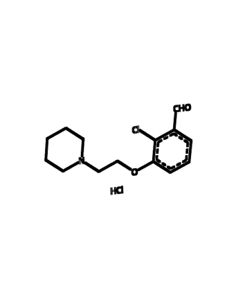 Cl.O=Cc1cccc(OCCN2CCCCC2)c1Cl